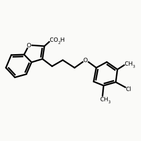 Cc1cc(OCCCc2c(C(=O)O)oc3ccccc23)cc(C)c1Cl